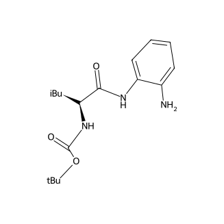 CC[C@H](C)[C@H](NC(=O)OC(C)(C)C)C(=O)Nc1ccccc1N